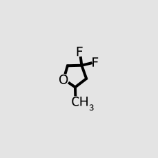 CC1CC(F)(F)CO1